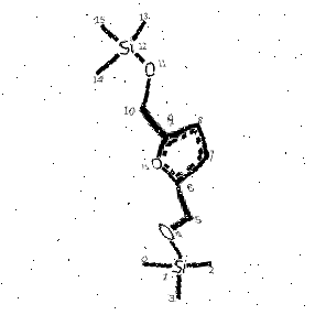 C[Si](C)(C)OCc1ccc(CO[Si](C)(C)C)o1